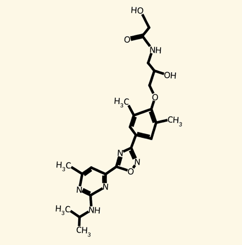 Cc1cc(-c2nc(-c3cc(C)c(OCC(O)CNC(=O)CO)c(C)c3)no2)nc(NC(C)C)n1